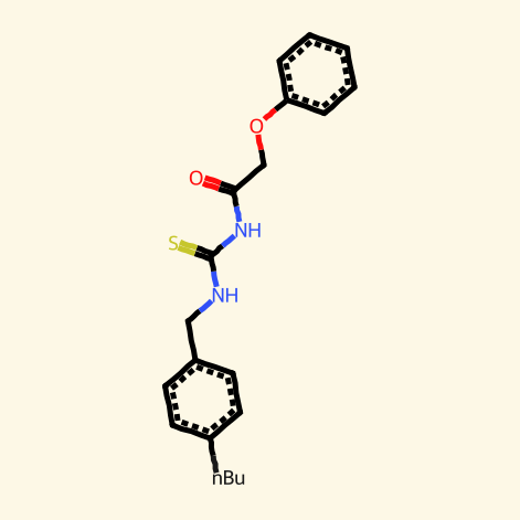 CCCCc1ccc(CNC(=S)NC(=O)COc2ccccc2)cc1